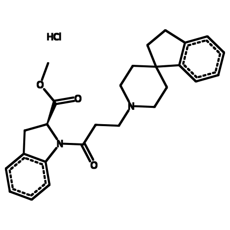 COC(=O)[C@@H]1Cc2ccccc2N1C(=O)CCN1CCC2(CCc3ccccc32)CC1.Cl